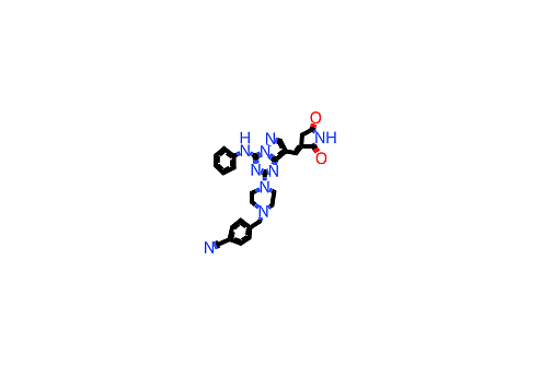 N#Cc1ccc(CN2CCN(c3nc(Nc4ccccc4)n4ncc(/C=C5\CC(=O)NC5=O)c4n3)CC2)cc1